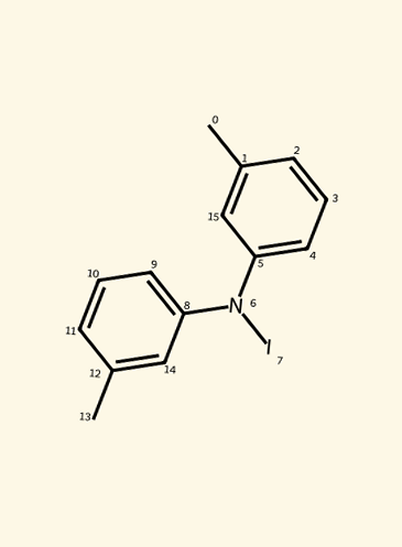 Cc1cccc(N(I)c2cccc(C)c2)c1